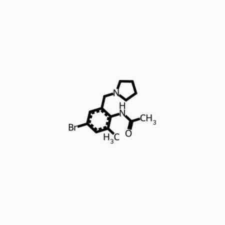 CC(=O)Nc1c(C)cc(Br)cc1CN1CCCC1